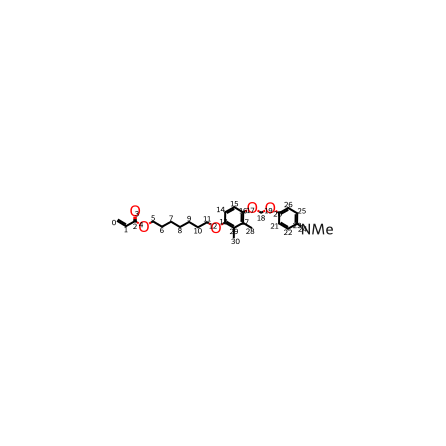 C=CC(=O)OCCCCCCCOc1ccc(OCOc2ccc(NC)cc2)c(C)c1C